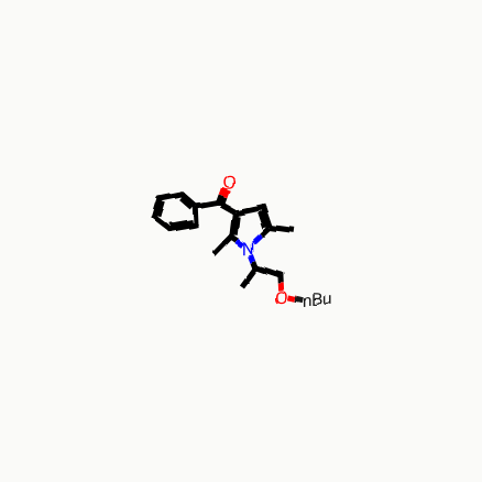 CCCCOCC(C)n1c(C)cc(C(=O)c2ccccc2)c1C